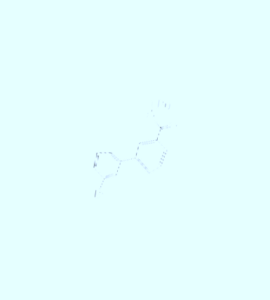 CCCCOC(=O)c1cccc(-c2cccc(Br)c2)c1